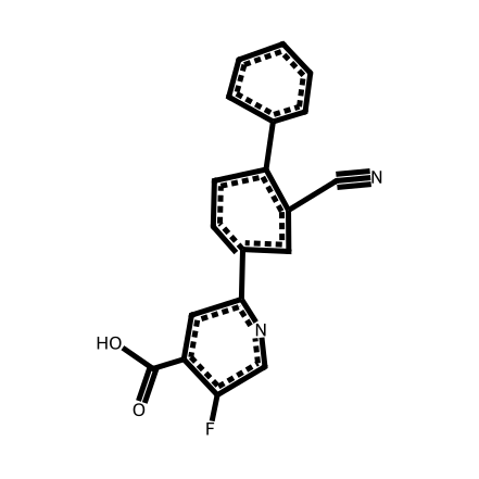 N#Cc1cc(-c2cc(C(=O)O)c(F)cn2)ccc1-c1ccccc1